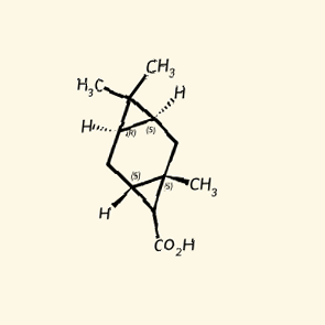 CC1(C)[C@@H]2C[C@H]3C(C(=O)O)[C@@]3(C)C[C@@H]21